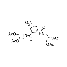 CC(=O)OCC(CNC(=O)c1cc(C(=O)NCC(COC(C)=O)OC(C)=O)cc([N+](=O)[O-])c1)OC(C)=O